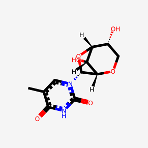 Cc1cn([C@@H]2O[C@H]3[C@@H](O)[C@@H]2OC[C@H]3O)c(=O)[nH]c1=O